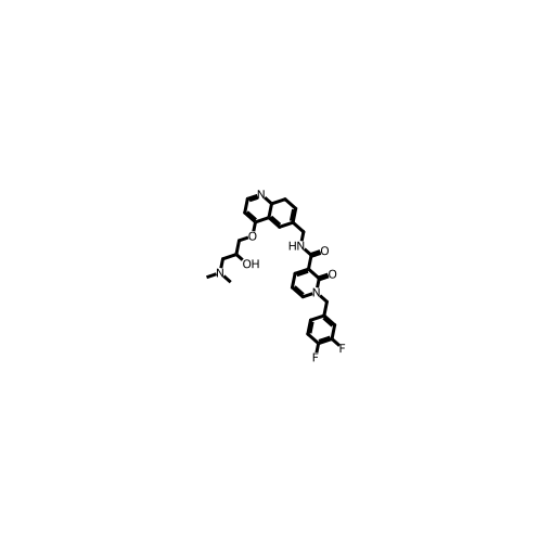 CN(C)CC(O)COC1=CC=NC2CC=C(CNC(=O)c3cccn(Cc4ccc(F)c(F)c4)c3=O)C=C12